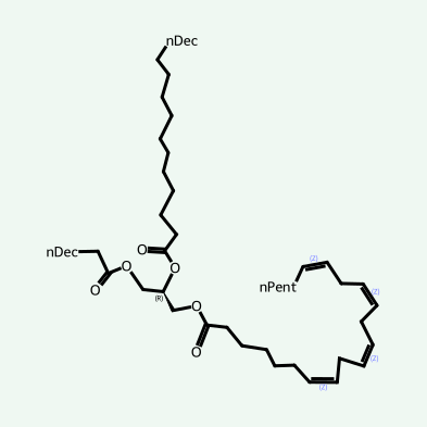 CCCCC/C=C\C/C=C\C/C=C\C/C=C\CCCCCC(=O)OC[C@@H](COC(=O)CCCCCCCCCCC)OC(=O)CCCCCCCCCCCCCCCCCCCC